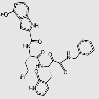 COc1cccc2[nH]c(C(=O)N[C@@H](CCC(C)C)C(=O)N[C@@H](Cc3ccc[nH]c3=O)C(=O)C(=O)NCc3ccccc3)cc12